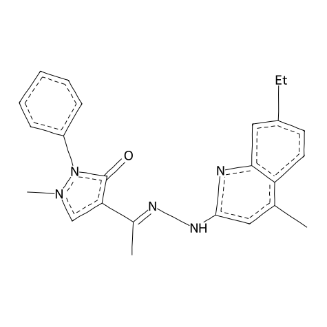 CCc1ccc2c(C)cc(N/N=C(\C)c3cn(C)n(-c4ccccc4)c3=O)nc2c1